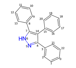 c1ccc(-c2n[nH]c(-c3ccccc3)c2-c2ccccc2)cc1